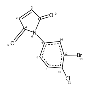 O=C1C=CC(=O)N1c1ccc(Cl)c(Br)c1